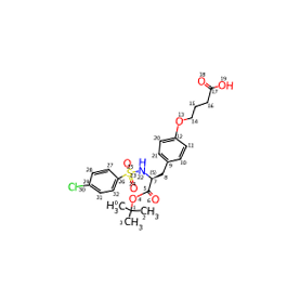 CC(C)(C)OC(=O)[C@H](Cc1ccc(OCCCC(=O)O)cc1)NS(=O)(=O)c1ccc(Cl)cc1